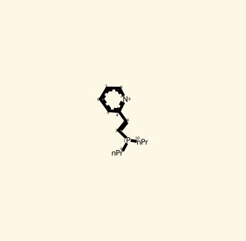 CCCP(C=Cc1ccccn1)CCC